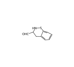 O=[C]C1Cc2ccccc2SN1